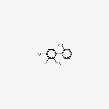 Cc1ccc(-c2ccccc2O)c(N)c1Br